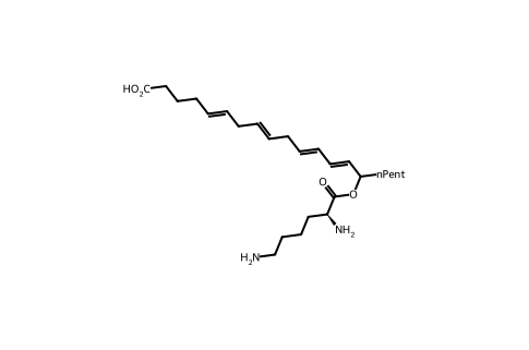 CCCCCC(C=CC=CCC=CCC=CCCCC(=O)O)OC(=O)[C@@H](N)CCCCN